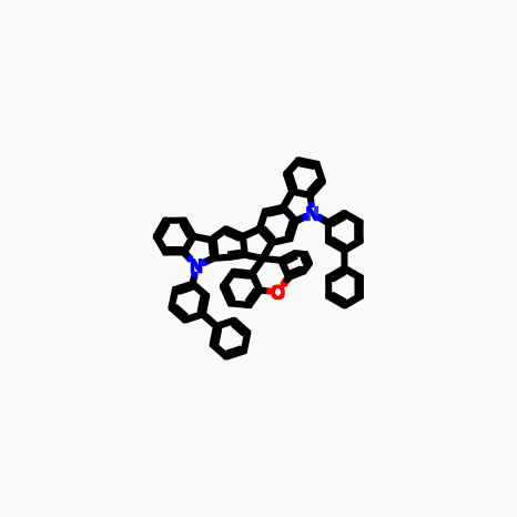 c1ccc(-c2cccc(-n3c4ccccc4c4cc5c(cc43)C3(c4ccccc4Oc4ccccc43)c3cc4c(cc3-5)c3ccccc3n4-c3cccc(-c4ccccc4)c3)c2)cc1